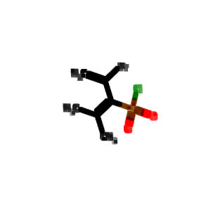 C=C(C(=C(C)C)S(=O)(=O)Cl)C(C)C